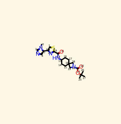 Cn1cncc1-c1csc(C(=O)NC2CCC3(CC2)CN(C(=O)OC(C)(C)C)C3)n1